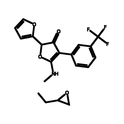 CCC1CO1.CNC1=C(c2cccc(C(F)(F)F)c2)C(=O)C(c2ccco2)O1